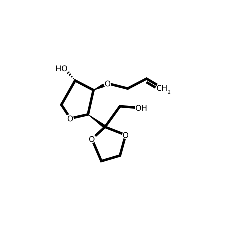 C=CCO[C@@H]1[C@@H](O)CO[C@@H]1C1(CO)OCCO1